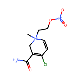 C[N+]1(CCO[N+](=O)[O-])C=CC(Cl)=C(C(N)=O)C1